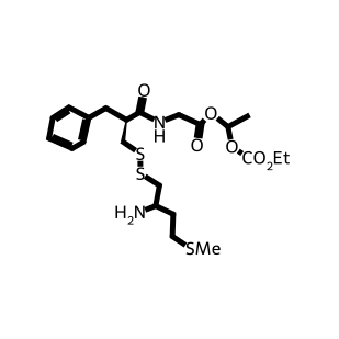 CCOC(=O)OC(C)OC(=O)CNC(=O)[C@@H](CSSCC(N)CCSC)Cc1ccccc1